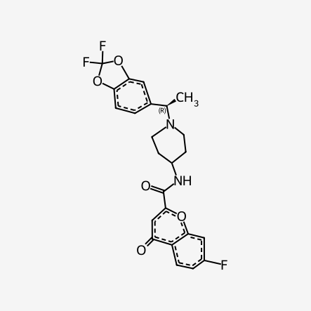 C[C@H](c1ccc2c(c1)OC(F)(F)O2)N1CCC(NC(=O)c2cc(=O)c3ccc(F)cc3o2)CC1